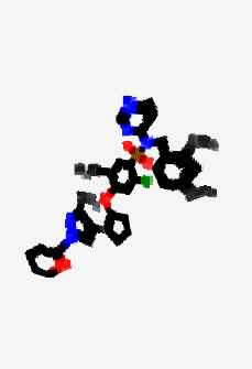 COc1ccc(CN(c2ccncn2)S(=O)(=O)c2cc(C)c(O[C@H]3CCC[C@@H]3c3cn(C4CCCCO4)nc3[N+](=O)[O-])cc2F)c(OC)c1